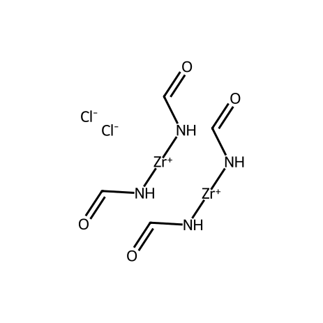 O=C[NH][Zr+][NH]C=O.O=C[NH][Zr+][NH]C=O.[Cl-].[Cl-]